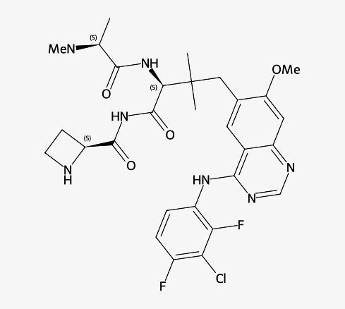 CN[C@@H](C)C(=O)N[C@H](C(=O)NC(=O)[C@@H]1CCN1)C(C)(C)Cc1cc2c(Nc3ccc(F)c(Cl)c3F)ncnc2cc1OC